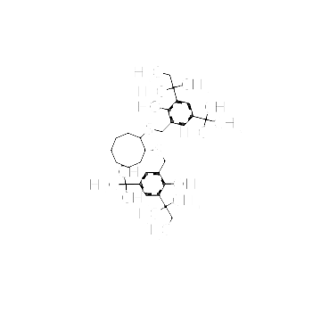 CCC(C)(C)c1cc(C(C)(C)C)cc(CSC2CCCCCC[C@@H]2SCc2cc(C(C)(C)C)cc(C(C)(C)CC)c2O)c1O